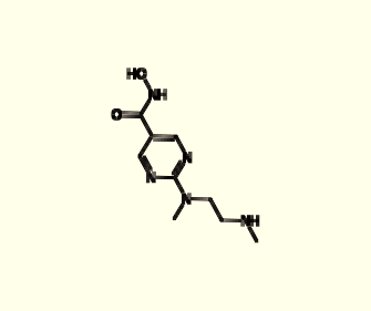 CNCCN(C)c1ncc(C(=O)NO)cn1